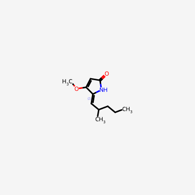 CCCC(C)/C=C1\NC(=O)C=C1OC